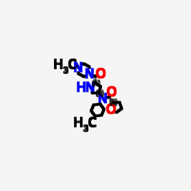 CN1CCN(C(=O)[C@@H]2C[C@@H](N(C(=O)[C@@H]3CCCO3)[C@H]3CC[C@@H](C)CC3)CN2)CC1